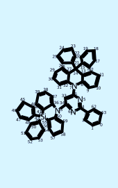 c1ccc(-c2nc(N3c4ccccc4C(c4ccccc4)(c4ccccc4)c4ccccc43)cc(N3c4ccccc4[Si](c4ccccc4)(c4ccccc4)c4ccccc43)n2)cc1